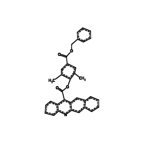 Cc1cc(C(=O)OCc2ccccc2)cc(C)c1OC(=O)c1c2ccccc2nc2cc3ccccc3cc12